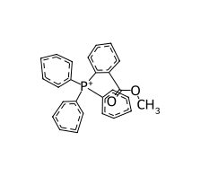 COC(=O)c1ccccc1[P+](c1ccccc1)(c1ccccc1)c1ccccc1